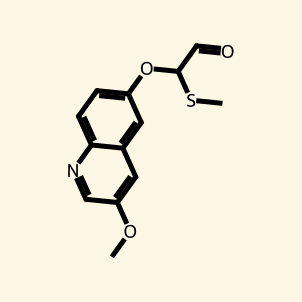 COc1cnc2ccc(OC(C=O)SC)cc2c1